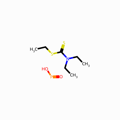 CCSC(=S)N(CC)CC.O=PO